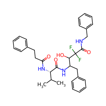 CC(C)[C@H](NC(=O)CCc1ccccc1)C(=O)NC(Cc1ccccc1)C(O)C(F)(F)C(=O)NCc1ccccc1